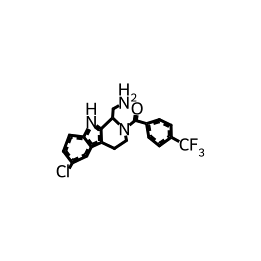 NCC1c2[nH]c3ccc(Cl)cc3c2CCN1C(=O)c1ccc(C(F)(F)F)cc1